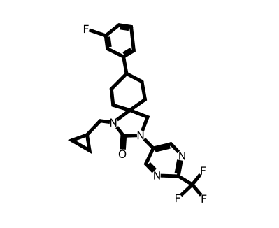 O=C1N(c2cnc(C(F)(F)F)nc2)CC2(CCC(c3cccc(F)c3)CC2)N1CC1CC1